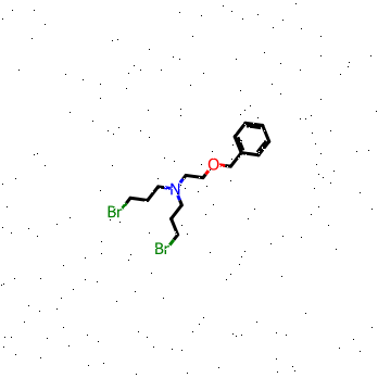 BrCCCN(CCCBr)CCOCc1ccccc1